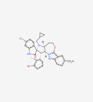 O=C(O)c1ccc2nn3c(c2c1)OCC[C@H]1[C@@H]3[C@H](c2cccc(Br)c2F)[C@]2(C(=O)Nc3cc(Cl)ccc32)N1CC1CC1